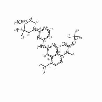 CC(C)c1ccc(N(C)C(=O)OC(C)(C)C)c2cnc(Nc3ccnc(N4CC[C@@H](O)[C@@](C)(F)C4)n3)cc12